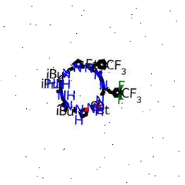 CCO[C@@H]1CNCC2(CCCC2)NC(C)[C@H]([C@@H](C)CC)N2C(C)[C@@H](C)C2CNC(C)[C@H](CC(C)C)NC[C@H]([C@@H](C)CC)NC[C@H](C)N2CCCC2=CN(CC)C(Cc2ccc(C(F)(F)F)cc2)=CN(C)C=CN=C(CCc2cc(F)c(C(F)(F)F)c(F)c2)C=CN1